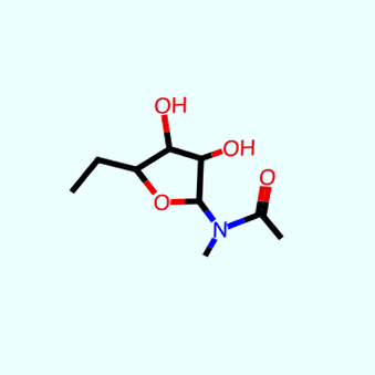 CCC1OC(N(C)C(C)=O)C(O)C1O